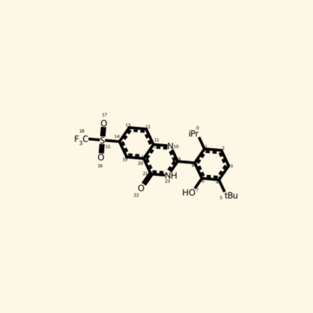 CC(C)c1ccc(C(C)(C)C)c(O)c1-c1nc2ccc(S(=O)(=O)C(F)(F)F)cc2c(=O)[nH]1